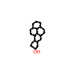 Oc1ccc2c(c1)cc1ccc3cccc4ccc2c1c34